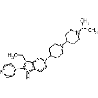 CCc1c(-c2ccncc2)[nH]c2ccc(C3CCN(C4CCN(C(C)C)CC4)CC3)cc12